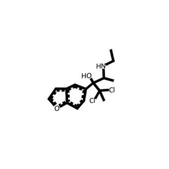 CCNC(C)C(O)(c1ccc2occc2c1)C(C)(Cl)Cl